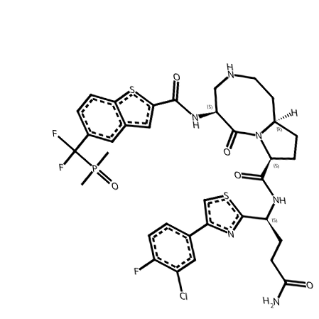 CP(C)(=O)C(F)(F)c1ccc2sc(C(=O)N[C@H]3CNCC[C@H]4CC[C@@H](C(=O)N[C@@H](CCC(N)=O)c5nc(-c6ccc(F)c(Cl)c6)cs5)N4C3=O)cc2c1